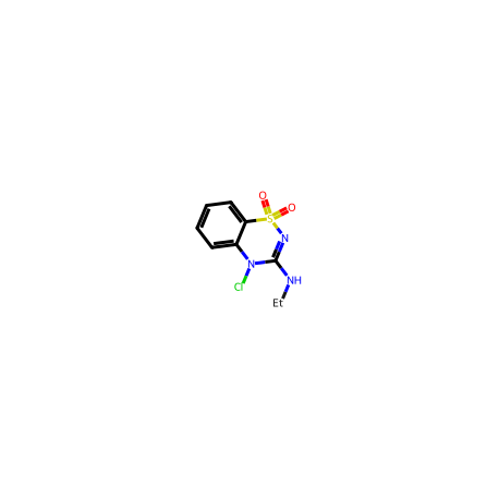 CCNC1=NS(=O)(=O)c2ccccc2N1Cl